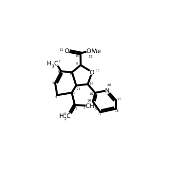 C=C(C)C1CC=C(C)C2C(C(=O)OC)OC(c3ccccn3)C12